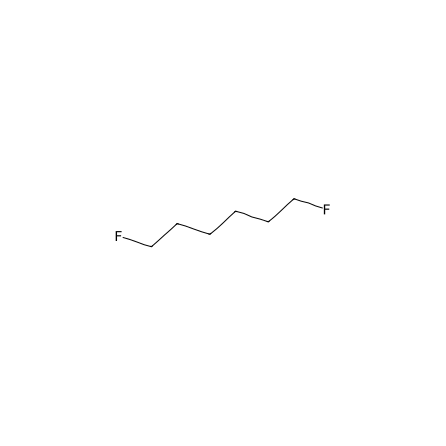 FCCCCCCF